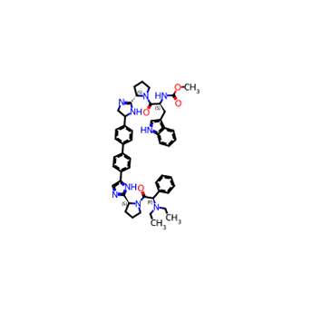 CCN(CC)[C@@H](C(=O)N1CCC[C@H]1c1ncc(-c2ccc(-c3ccc(C4CN=C([C@@H]5CCCN5C(=O)[C@H](Cc5c[nH]c6ccccc56)NC(=O)OC)N4)cc3)cc2)[nH]1)c1ccccc1